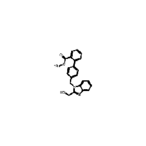 CC(C)(C)OC(=O)c1ccccc1-c1ccc(Cn2c(CO)nc3ccccc32)cc1